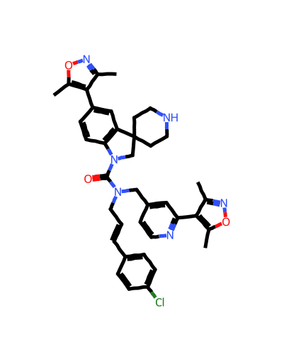 Cc1noc(C)c1-c1ccc2c(c1)C1(CCNCC1)CN2C(=O)N(CC=Cc1ccc(Cl)cc1)Cc1ccnc(-c2c(C)noc2C)c1